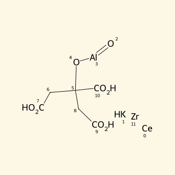 [Ce].[KH].[O]=[Al][O]C(CC(=O)O)(CC(=O)O)C(=O)O.[Zr]